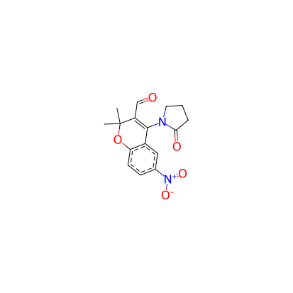 CC1(C)Oc2ccc([N+](=O)[O-])cc2C(N2CCCC2=O)=C1C=O